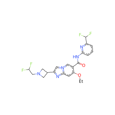 CCOc1cc2nc(C3CN(CC(F)F)C3)cn2cc1C(=O)Nc1cccc(C(F)F)n1